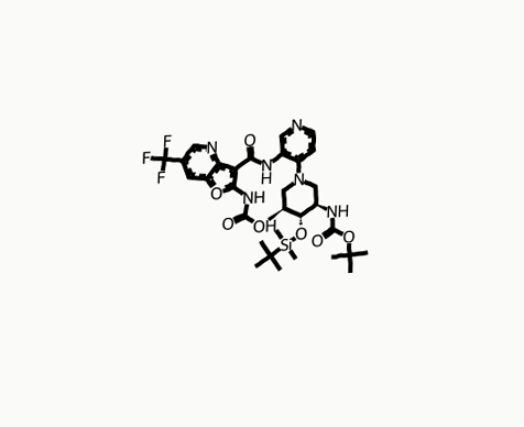 C[C@H]1CN(c2ccncc2NC(=O)c2c(NC(=O)O)oc3cc(C(F)(F)F)cnc23)C[C@@H](NC(=O)OC(C)(C)C)[C@@H]1O[Si](C)(C)C(C)(C)C